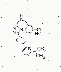 CC(C)c1cccc([C@H]2CC[C@H](c3nnc4n3-c3ccc(Cl)cc3CNC4)CC2)n1.Cl